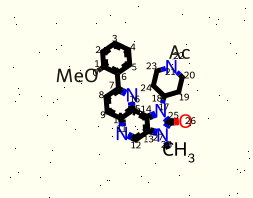 COc1ccccc1-c1ccc2ncc3c(c2n1)n(C1CCN(C(C)=O)CC1)c(=O)n3C